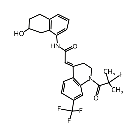 CC(C)(F)C(=O)N1CC/C(=C\C(=O)Nc2cccc3c2CC(O)CC3)c2ccc(C(F)(F)F)cc21